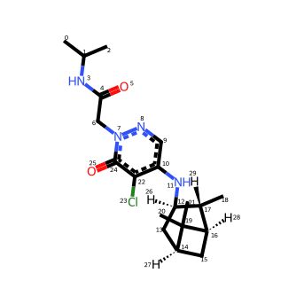 CC(C)NC(=O)Cn1ncc(N[C@@H]2C[C@@H]3C[C@H]([C@H]2C)C3(C)C)c(Cl)c1=O